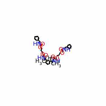 CC(C)(NC(=O)OCCCOC(=O)NCc1ccccc1)c1cccc(C(C)(C)NC(=O)OCCCOC(=O)NCc2ccccc2)c1